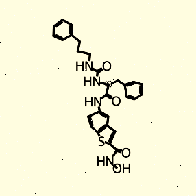 O=C(NCCCc1ccccc1)N[C@@H](Cc1ccccc1)C(=O)Nc1ccc2sc(C(=O)NO)cc2c1